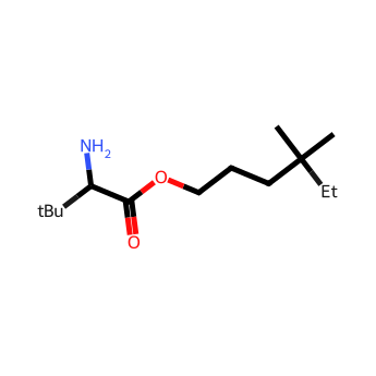 CCC(C)(C)CCCOC(=O)C(N)C(C)(C)C